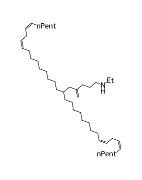 C=C(CCCNCC)CC(CCCCCCCC/C=C\C/C=C\CCCCC)CCCCCCCC/C=C\C/C=C\CCCCC